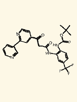 CC(C)(C)OC(=O)Nc1ccc(C(F)(F)F)cc1NC(=O)CC(=O)c1ccnc(-c2cccnc2)c1